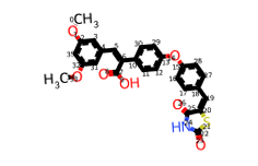 COc1cc(C=C(C(=O)O)c2ccc(Oc3ccc(C=C4SC(=O)NC4=O)cc3)cc2)cc(OC)c1